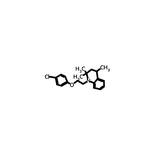 CC1CC(C)(C)N(CCOc2ccc(Cl)cc2)c2ccccc21